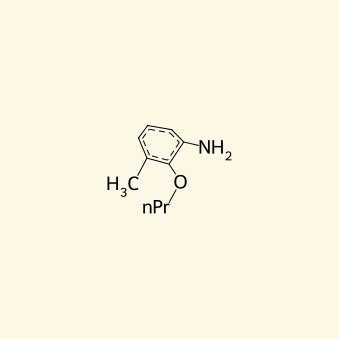 CCCOc1c(C)cccc1N